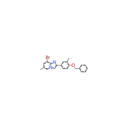 Cc1cc(Br)c2nc(-c3ccc(OCc4ccccc4)c(C)c3)cn2c1